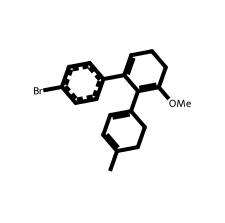 COC1=C(C2=CC=C(C)CC2)C(c2ccc(Br)cc2)=CCC1